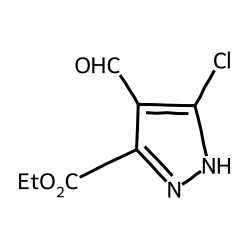 CCOC(=O)c1n[nH]c(Cl)c1C=O